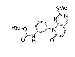 CSc1ncc2ccc(=O)n(-c3cccc(NC(=O)OC(C)(C)C)c3)c2n1